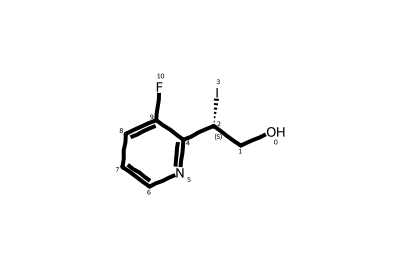 OC[C@@H](I)c1ncccc1F